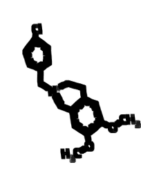 COc1cc2c(cc1OC)CC[N+](Cc1ccc(Cl)cc1)=C2